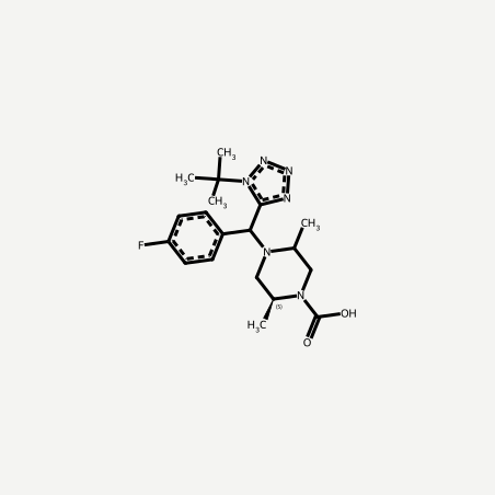 CC1CN(C(=O)O)[C@@H](C)CN1C(c1ccc(F)cc1)c1nnnn1C(C)(C)C